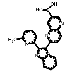 Cc1cccc(-c2nc3ccccn3c2-c2ccc3ncc(B(O)O)cc3n2)n1